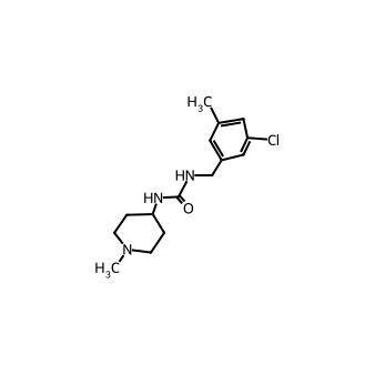 Cc1cc(Cl)cc(CNC(=O)NC2CCN(C)CC2)c1